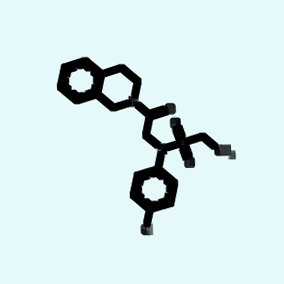 CCS(=O)(=O)N(CC(=O)N1CCc2ccccc2C1)c1ccc(Cl)cc1